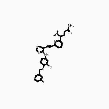 CN(C)C(CCC(N)=O)c1cccc(C#Cc2cncnc2Nc2ccc(OCc3cccc(F)c3)c(Cl)c2)n1